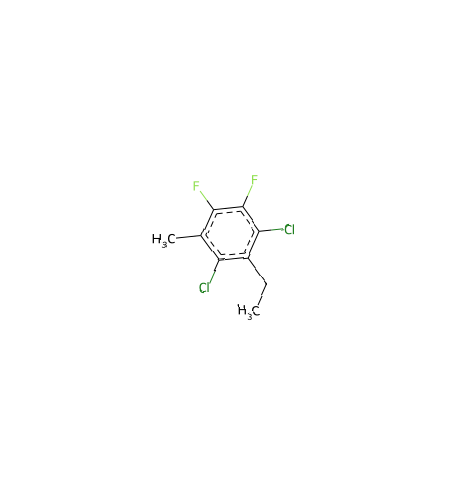 CCc1c(Cl)c(C)c(F)c(F)c1Cl